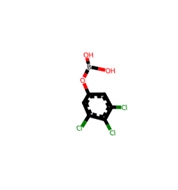 OB(O)Oc1cc(Cl)c(Cl)c(Cl)c1